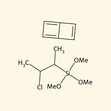 CO[Si](OC)(OC)C(C)C(C)Cl.c1cc2ccc1-2